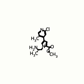 COC(=O)c1cc(-c2cc(Cl)ncc2C)cn1C[C@H](C)N